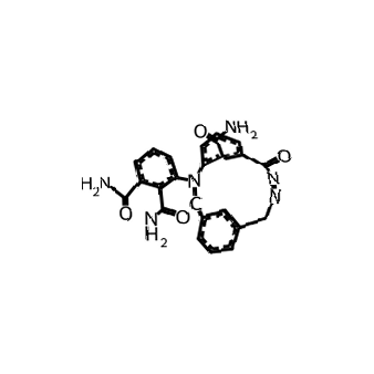 NC(=O)c1cccc(N2Cc3cccc(c3)CN=NC(=O)c3cccc2c3C(N)=O)c1C(N)=O